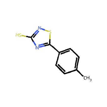 Cc1ccc(-c2nc(S)ns2)cc1